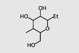 CCC1OC(CO)C(C)C(O)C1O